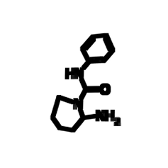 NC1CCCCN1C(=O)Nc1ccccc1